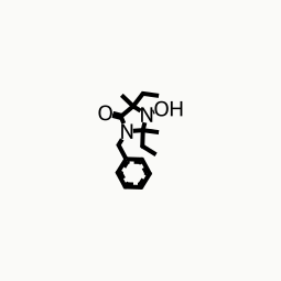 CCC1(C)C(=O)N(Cc2ccccc2)C(C)(CC)N1O